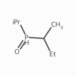 CCC(C)[PH](=O)C(C)C